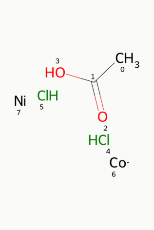 CC(=O)O.Cl.Cl.[Co].[Ni]